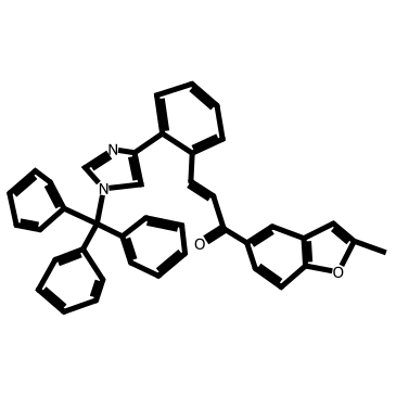 Cc1cc2cc(C(=O)C=Cc3ccccc3-c3cn(C(c4ccccc4)(c4ccccc4)c4ccccc4)cn3)ccc2o1